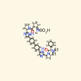 CCN(CC)[C@@H](C(=O)N1CCC[C@H]1c1ncc(-c2ccc(-c3ccc(-c4cnc([C@@H]5CCCN5C(=O)[C@H]5CCC[C@@H]5N(C)C(=O)O)[nH]4)cc3)cc2)[nH]1)c1ccccc1